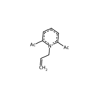 C=CC[n+]1c(C(C)=O)cccc1C(C)=O